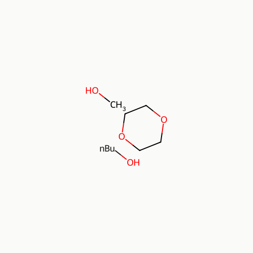 C1COCCO1.CCCCO.CO